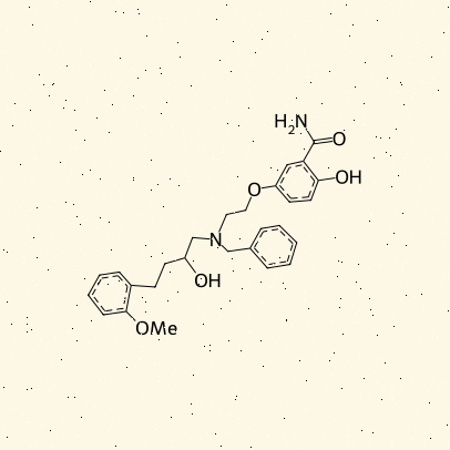 COc1ccccc1CCC(O)CN(CCOc1ccc(O)c(C(N)=O)c1)Cc1ccccc1